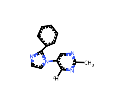 [2H]c1nc(C)ncc1-n1ccnc1-c1ccccc1